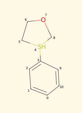 c1ccc([SH]2CCOC2)cc1